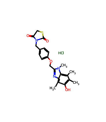 Cc1c(O)c(C)c2nc(COc3ccc(CN4C(=O)CSC4=O)cc3)n(C)c2c1C.Cl